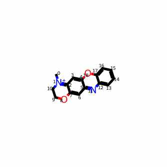 C[N+]1=c2cc3c(cc2OCC1)=Nc1ccccc1O3